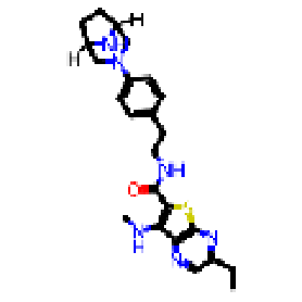 CCc1cnc2c(NC)c(C(=O)NCCc3ccc(N4C[C@H]5CC[C@@H](C4)N5)cc3)sc2n1